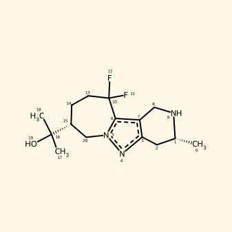 C[C@@H]1Cc2nn3c(c2CN1)C(F)(F)CC[C@@H](C(C)(C)O)C3